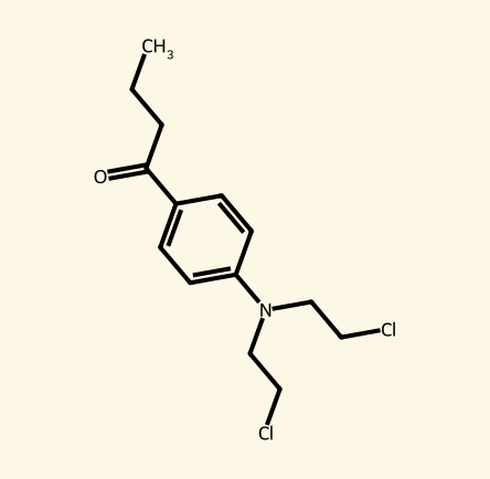 CCCC(=O)c1ccc(N(CCCl)CCCl)cc1